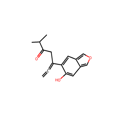 C=C=C(CC(=O)C(C)C)c1cc2cocc2cc1O